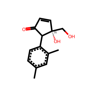 Cc1ccc(C2C(=O)C=C[C@@]2(O)CO)c(C)c1